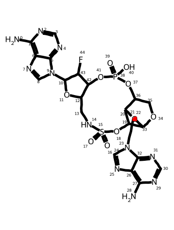 Nc1ncnc2c1ncn2C1OC2CNS(=O)(=O)OC3C4OC(n5cnc6c(N)ncnc65)C3OCC4OP(=O)(O)OC2C1F